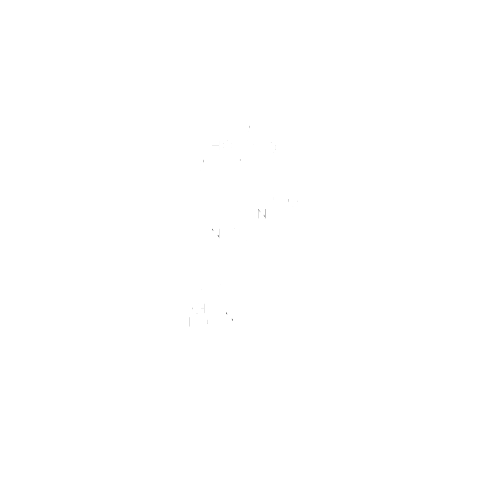 CCC1(O)C(=O)OCc2c1cc1n(c2=O)Cc2cc3c(CN(C)c4ccccc4)c(O)ccc3nc2-1